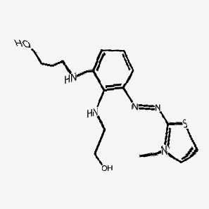 C[n+]1ccsc1N=Nc1cccc(NCCO)c1NCCO